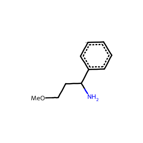 COCCC(N)c1c[c]ccc1